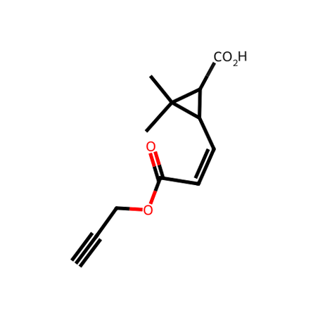 C#CCOC(=O)/C=C\C1C(C(=O)O)C1(C)C